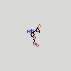 COCc1cncc(-c2n[nH]c3ccc(OCCCN(C)C=O)cc23)c1